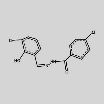 O=C(N/N=C\c1cccc(Cl)c1O)c1ccc(Cl)cc1